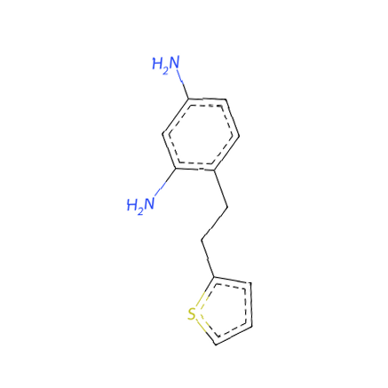 Nc1ccc(CCc2cccs2)c(N)c1